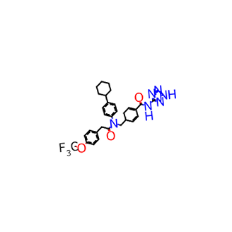 O=C(Nc1nn[nH]n1)C1=CCC(CN(C(=O)Cc2ccc(OC(F)(F)F)cc2)c2ccc(C3CCCCC3)cc2)C=C1